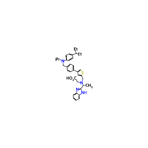 CCC(CC)c1ccc(N(Cc2ccc(-c3csc(CN(CC(=O)O)C(C)c4nc5ccccc5[nH]4)c3)cc2)C(C)C)cc1